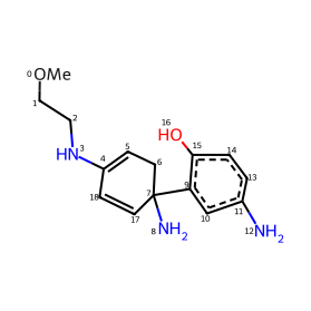 COCCNC1=CCC(N)(c2cc(N)ccc2O)C=C1